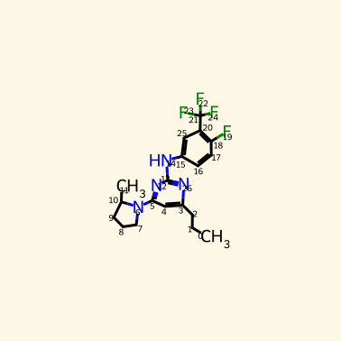 CCCc1cc(N2CCCC2C)nc(Nc2ccc(F)c(C(F)(F)F)c2)n1